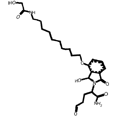 NC(=O)C(CCC=O)N1C(=O)c2cccc(OCCCCCCCCCCNC(=O)CO)c2C1O